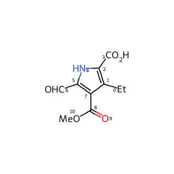 CCc1c(C(=O)O)[nH]c(C=O)c1C(=O)OC